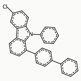 Clc1ccc2c(c1)c1cccc(-c3ccc(-c4ccccc4)cc3)c1n2-c1ccccc1